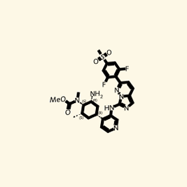 COC(=O)N(C)[C@@H]1[C@H](N)C[C@H](c2ccncc2Nc2ncc3ccc(-c4c(F)cc(S(C)(=O)=O)cc4F)nn23)C[C@@H]1C